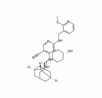 COc1ncccc1CNc1ncc(C#N)c(NC[C@]23CC4C[C@H](C2)[C@@H](NC[C@H]2CC[C@@H](O)CC2)[C@@H](C4)C3)n1